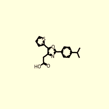 CC(C)c1ccc(-c2nc(CC(=O)O)c(-c3cccs3)o2)cc1